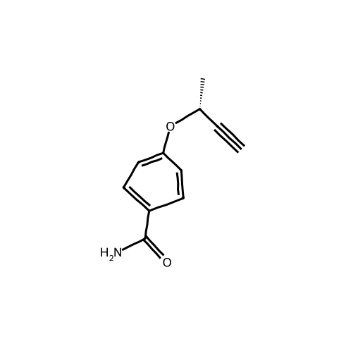 C#C[C@@H](C)Oc1ccc(C(N)=O)cc1